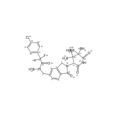 BN(Cc1ccc2c(c1)CN(C1C(=O)NC(=O)C(B)(B)C1(B)B)C2=O)C(=O)C(F)(F)c1ccc(Cl)cc1